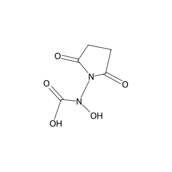 O=C(O)N(O)N1C(=O)CCC1=O